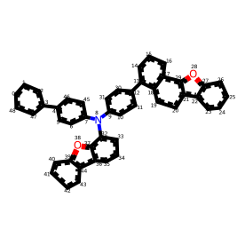 c1ccc(-c2ccc(N(c3ccc(-c4cccc5c4ccc4c6ccccc6oc54)cc3)c3cccc4c3oc3ccccc34)cc2)cc1